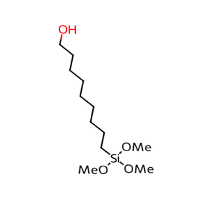 CO[Si](CCCCCCCCCO)(OC)OC